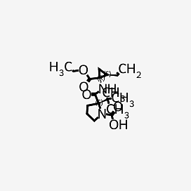 C=C[C@@H]1C[C@]1(NC(=O)[C@@]1(C(C)(C)C)CCCN1C(=O)O)C(=O)OCC